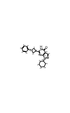 O=c1[nH]c(C2CN(c3ccccc3)C2)nc2c1cnn2C1CCCCC1